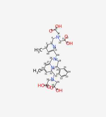 Cc1cc(CN(CC(=O)O)CC(=O)O)nc(CN(CCc2ccccc2)Cc2cc(C)cc(CN(CC(=O)O)CC(=O)O)n2)c1